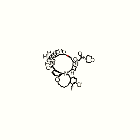 C[C@@H]1[C@@H](C)S(=O)(=O)NC(=O)c2ccc3c(c2)N(Cc2ccc(Cl)c(F)c2CCCCO3)C[C@@H]2CC[C@H]2[C@@H](OCC(=O)N2CCOCC2)C2=C[C@H]1C2